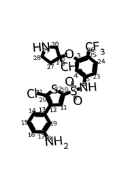 C[C@@]1(Oc2cc(NS(=O)(=O)c3cc(-c4cccc(N)c4)c(Cl)s3)ccc2C(F)(F)F)CCNC1